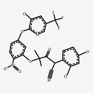 CC(C)(Oc1cc(Oc2ncc(C(F)(F)F)cc2Cl)ccc1[N+](=O)[O-])C(=O)C(C#N)c1ccc(Cl)cc1Cl